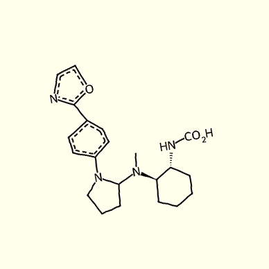 CN(C1CCCN1c1ccc(-c2ncco2)cc1)[C@@H]1CCCC[C@H]1NC(=O)O